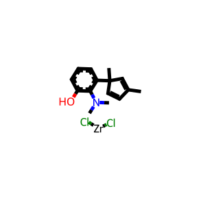 CC1=CC(C)(c2cccc(O)c2N(C)C)C=C1.[Cl][Zr][Cl]